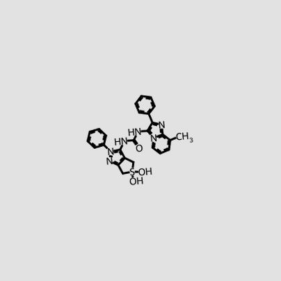 Cc1cccn2c(NC(=O)Nc3c4c(nn3-c3ccccc3)CS(O)(O)C4)c(-c3ccccc3)nc12